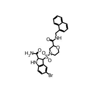 NC(=O)C1Nc2ccc(Br)cc2C1S(=O)(=O)N1CCOC(C(=O)NCc2cccc3ccccc23)C1